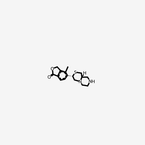 Cc1c([C@H]2CN3CCNC[C@H]3CS2)ccc2c1COC2=O